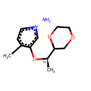 Cc1ccncc1O[C@H](C)C1COCCO1.N